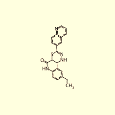 CCc1ccc2c(c1)C1NN=C(c3ccc4ncccc4c3)SC1C(=O)N2